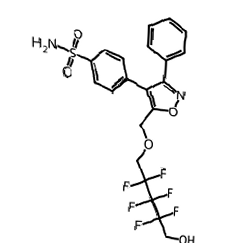 NS(=O)(=O)c1ccc(-c2c(-c3ccccc3)noc2COCC(F)(F)C(F)(F)C(F)(F)CO)cc1